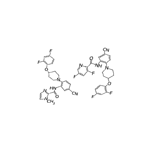 Cn1ccnc1C(=O)Nc1cc(C#N)ccc1N1CCC(Oc2ccc(F)cc2F)CC1.N#Cc1ccc(N2CCC(Oc3ccc(F)cc3F)CC2)c(NC(=O)c2ncc(F)cc2F)c1